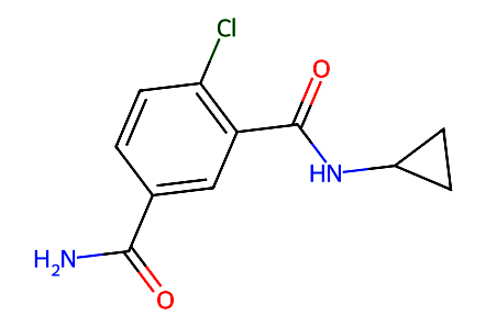 NC(=O)c1ccc(Cl)c(C(=O)NC2CC2)c1